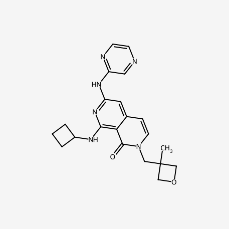 CC1(Cn2ccc3cc(Nc4cnccn4)nc(NC4CCC4)c3c2=O)COC1